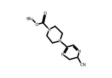 CC(C)(C)OC(=O)N1CCN(C2=NCC(C#N)N=C2)CC1